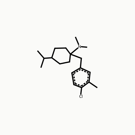 Cc1cc(CC2(N(C)C)CCC(C(C)C)CC2)ccc1Cl